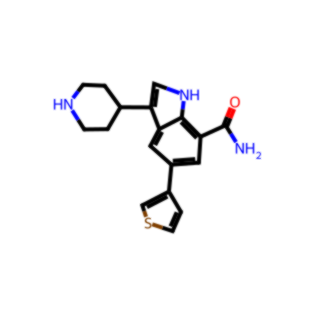 NC(=O)c1cc(-c2ccsc2)cc2c(C3CCNCC3)c[nH]c12